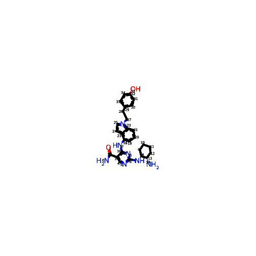 NC(=O)c1cnc(N[C@@H]2CCCC[C@@H]2N)nc1Nc1cccc2c1ccn2CCc1ccc(O)cc1